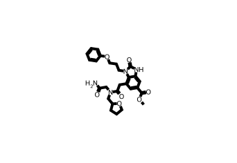 COC(=O)c1cc(CC(=O)N(CC(N)=O)CC2CCCO2)c2c(c1)[nH]c(=O)n2CCCOc1ccccc1